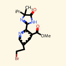 COC(=O)c1cc(CCBr)cnc1C1=NC(C)(C(C)C)C(=O)N1